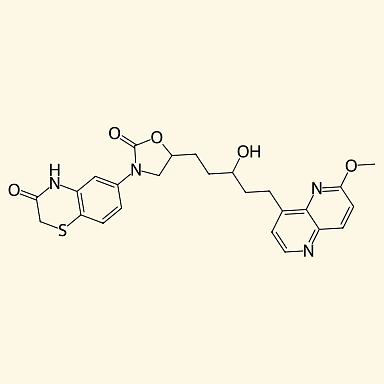 COc1ccc2nccc(CCC(O)CCC3CN(c4ccc5c(c4)NC(=O)CS5)C(=O)O3)c2n1